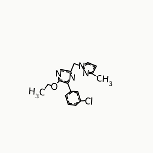 CCOc1ncc(Cn2ccc(C)n2)nc1-c1cccc(Cl)c1